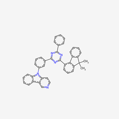 CC1(C)c2ccccc2-c2c(-c3nc(-c4ccccc4)nc(-c4cccc(-n5c6ccccc6c6cnccc65)c4)n3)cccc21